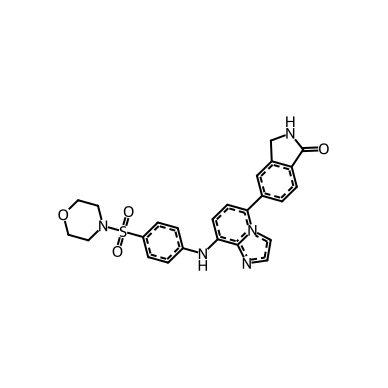 O=C1NCc2cc(-c3ccc(Nc4ccc(S(=O)(=O)N5CCOCC5)cc4)c4nccn34)ccc21